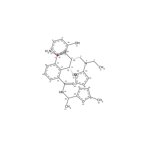 CCN(C[C@@H](c1ccccc1O)[C@H](C)c1c(C(N)=O)cccc1C(=O)NC(C)c1ccc(C)o1)c1ccco1